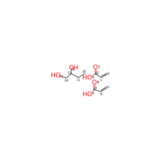 C=CC(=O)O.C=CC(=O)O.CCC(O)CO